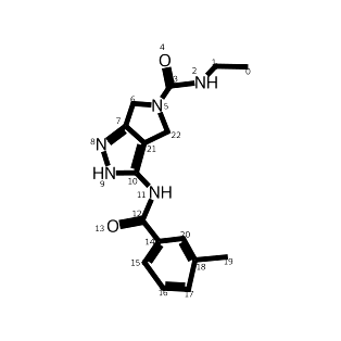 CCNC(=O)N1Cc2n[nH]c(NC(=O)c3cccc(C)c3)c2C1